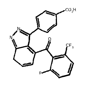 O=C(O)c1ccc(C2=NN=C3CC=CC(C(=O)c4c(F)cccc4C(F)(F)F)=C32)cc1